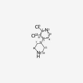 Clc1nccc(C2CCNCC2)c1Cl